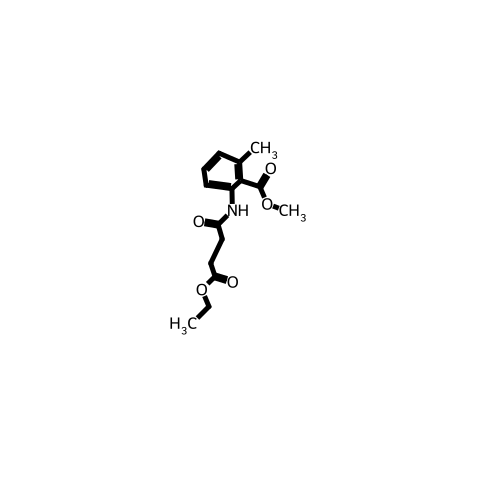 CCOC(=O)CCC(=O)Nc1cccc(C)c1C(=O)OC